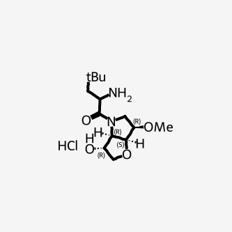 CO[C@@H]1CN(C(=O)C(N)CC(C)(C)C)[C@H]2[C@@H]1OC[C@@H]2O.Cl